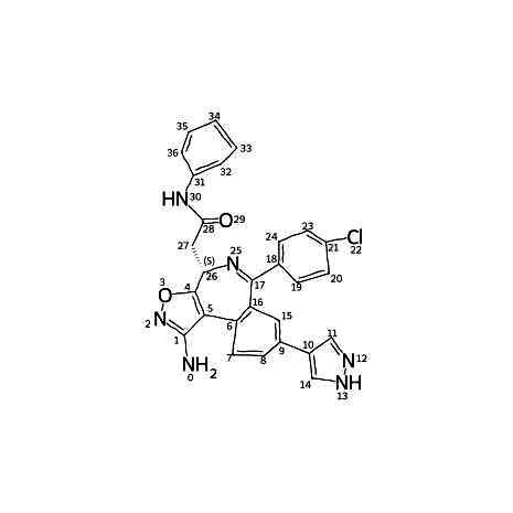 Nc1noc2c1-c1ccc(-c3cn[nH]c3)cc1C(c1ccc(Cl)cc1)=N[C@H]2CC(=O)Nc1ccccc1